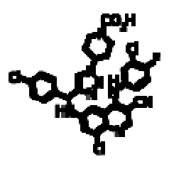 N#Cc1cnc2c(Cl)cc(N[C@@H](c3ccc(Cl)cc3)c3cn(C4CCN(C(=O)O)CC4)nn3)cc2c1Nc1ccc(F)c(Cl)c1